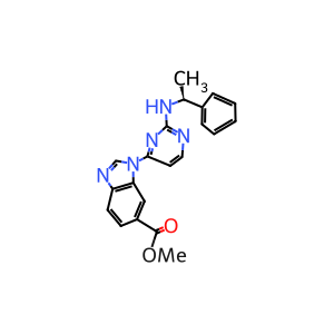 COC(=O)c1ccc2ncn(-c3ccnc(N[C@@H](C)c4ccccc4)n3)c2c1